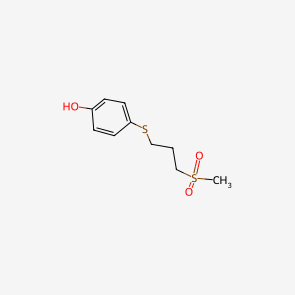 CS(=O)(=O)CCCSc1ccc(O)cc1